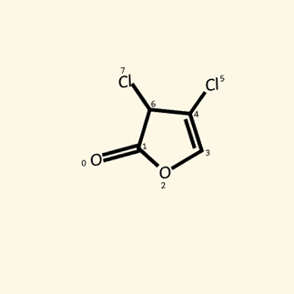 O=C1OC=C(Cl)C1Cl